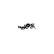 COC[C@H]1OCN(c2ccc3nc([C@H](O)CCC#N)sc3c2)C1=O